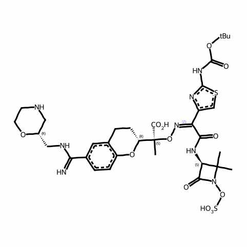 CC(C)(C)OC(=O)Nc1nc(/C(=N/O[C@](C)(C(=O)O)[C@H]2CCc3cc(C(=N)NC[C@H]4CNCCO4)ccc3O2)C(=O)N[C@@H]2C(=O)N(OS(=O)(=O)O)C2(C)C)cs1